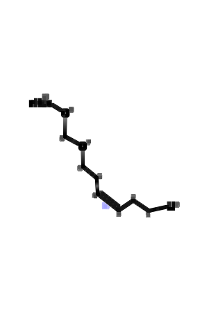 [Li][CH2]C/C=C\CCOCOCCCCCC